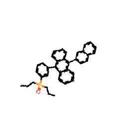 CCCP(=O)(CCC)c1cccc(-c2c3ccccc3c(-c3ccc4ccccc4c3)c3ccccc23)c1